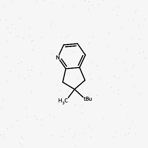 CC(C)(C)C1(C)Cc2cccnc2C1